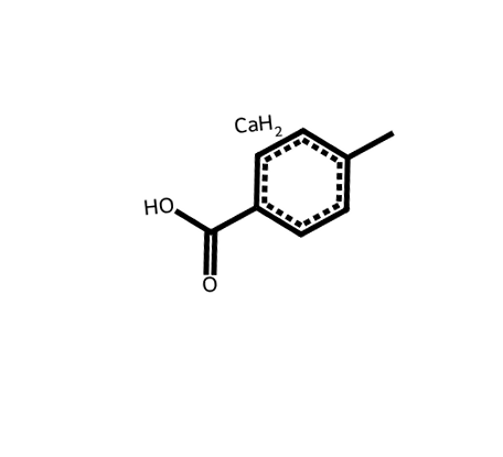 Cc1ccc(C(=O)O)cc1.[CaH2]